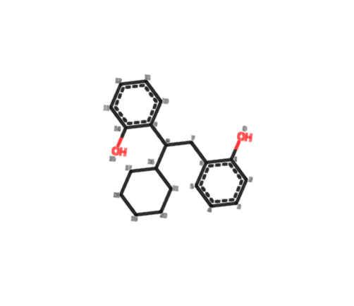 Oc1ccccc1CC(c1ccccc1O)C1CCCCC1